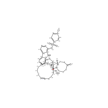 O=C1CCCN2[C@@H](CC1)C[C@]13CN4CCCC/C=C\CC[C@](O)(C=C(c5nccc6c5[nH]c5c(OS(=O)(=O)c7ccc(Cl)cc7)cccc56)C1CC4)[C@H]23